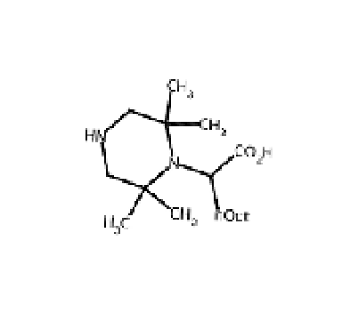 CCCCCCCCC(C(=O)O)N1C(C)(C)CNCC1(C)C